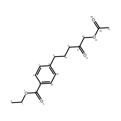 CCOC(=O)c1ccc(CCCC(=O)COC(C)=O)cc1